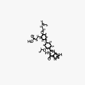 CCOc1cc(-c2ccc(OCCN(C)C)c(CCC(=O)O)c2)ccc1-c1nc2[nH]nnc2c(=O)[nH]1